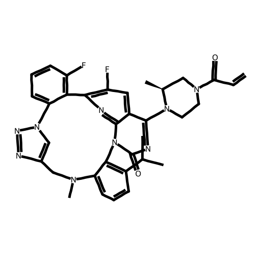 C=CC(=O)N1CCN(c2nc(=O)n3c4nc(c(F)cc24)-c2c(F)cccc2-n2cc(nn2)CN(C)c2cccc(C(C)C)c2-3)[C@@H](C)C1